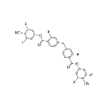 N#Cc1c(F)cc(OC(=O)c2ccc(Cc3ccc(C(=O)Oc4cc(F)c(C#N)c(F)c4)c(F)c3)cc2F)cc1F